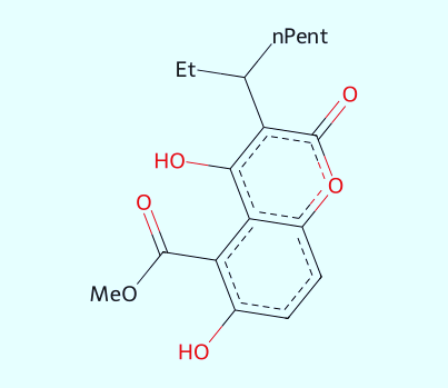 CCCCCC(CC)c1c(O)c2c(C(=O)OC)c(O)ccc2oc1=O